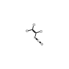 O=C=NC(Cl)=C(Cl)Cl